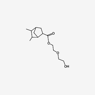 CC1C2CC(C(=O)OCCOCCO)C(C2)C1C